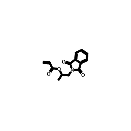 C=CC(=O)OC(C)CN1C(=O)c2ccccc2C1=O